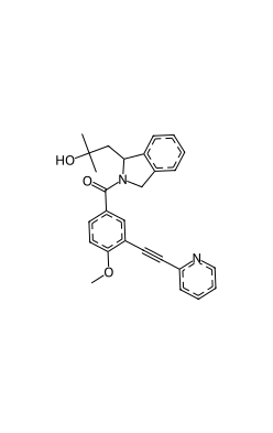 COc1ccc(C(=O)N2Cc3ccccc3C2CC(C)(C)O)cc1C#Cc1ccccn1